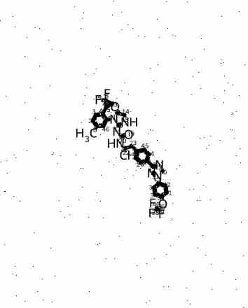 Cc1ccc(C2CC2(F)F)c(N2C(=O)CN/C2=N\C(=O)NC(C)Cc2ccc(-c3ncn(-c4ccc(OC(F)(F)F)cc4)n3)cc2)c1